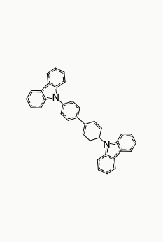 C1=CC(n2c3ccccc3c3ccccc32)CC=C1c1ccc(-n2c3ccccc3c3ccccc32)cc1